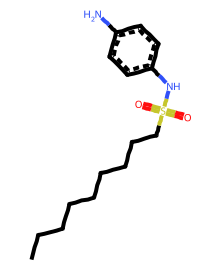 CCCCCCCCCS(=O)(=O)Nc1ccc(N)cc1